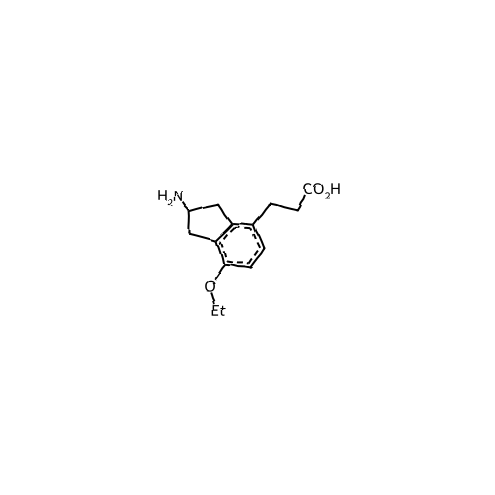 CCOc1ccc(CCC(=O)O)c2c1CC(N)C2